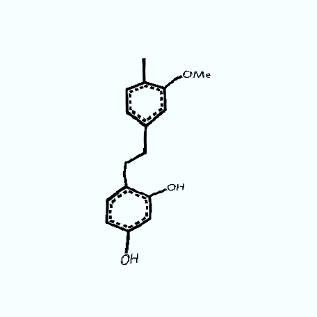 COc1cc(CCc2ccc(O)cc2O)ccc1C